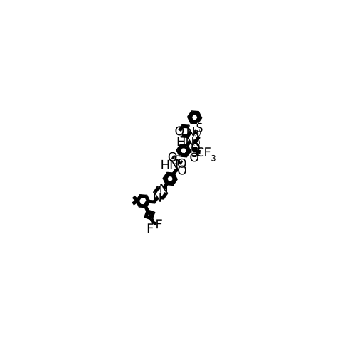 C[C@H](C[C@H](Sc1ccccc1)N1CCOCC1)Nc1ccc(S(=O)(=O)NC(=O)c2ccc(N3CCN(CC4=C(C56CC(C(F)F)(C5)C6)CC(C)(C)CC4)CC3)cc2)cc1S(=O)(=O)C(F)(F)F